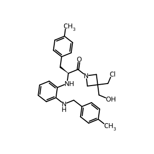 Cc1ccc(CNc2ccccc2N[C@@H](Cc2ccc(C)cc2)C(=O)N2CC(CO)(CCl)C2)cc1